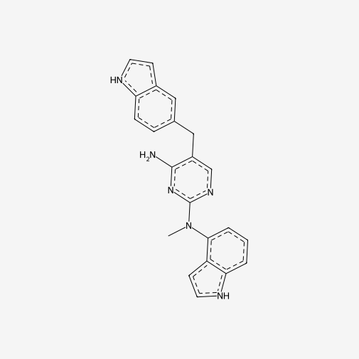 CN(c1ncc(Cc2ccc3[nH]ccc3c2)c(N)n1)c1cccc2[nH]ccc12